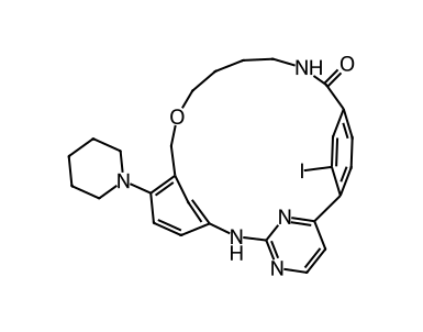 O=C1NCCCCOCc2cc(ccc2N2CCCCC2)Nc2nccc(n2)-c2ccc1cc2I